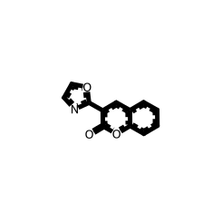 O=c1oc2ccccc2cc1-c1ncco1